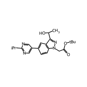 CC(C)c1ncc(-c2ccc3c(c2)c(C(C)O)nn3CC(=O)OC(C)(C)C)cn1